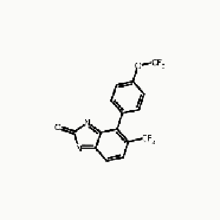 O=C1N=c2ccc(C(F)(F)F)c(-c3ccc(OC(F)(F)F)cc3)c2=N1